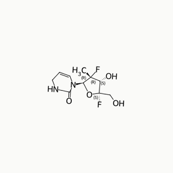 C[C@]1(F)[C@H](N2C=CCNC2=O)O[C@](F)(CO)[C@H]1O